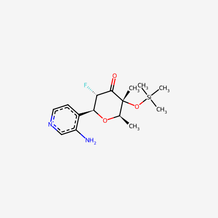 C[C@H]1O[C@@H](c2ccncc2N)[C@H](F)C(=O)[C@]1(C)O[Si](C)(C)C